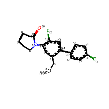 COCc1cc(N2CCCC2=O)c(F)cc1-c1ccc(Cl)cc1